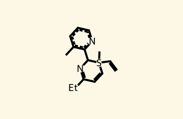 C=CS1(C)C=CC(CC)=NC1c1ncccc1C